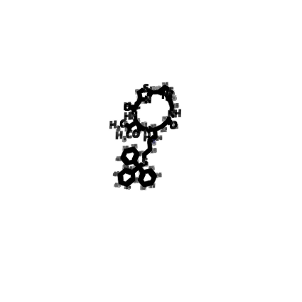 CC(C)C1NC(=O)[C@]2(C)CSC(=N2)c2csc(n2)CNC(=O)CC(/C=C/CCSC(c2ccccc2)(c2ccccc2)c2ccccc2)NC1=O